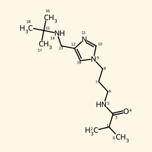 CC(C)C(=O)NCCCn1cnc(CNC(C)(C)C)c1